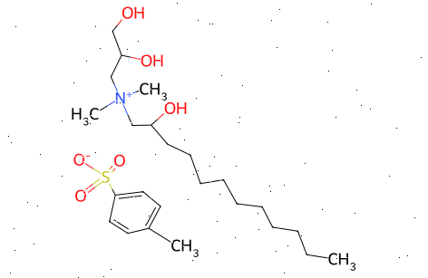 CCCCCCCCCCC(O)C[N+](C)(C)CC(O)CO.Cc1ccc(S(=O)(=O)[O-])cc1